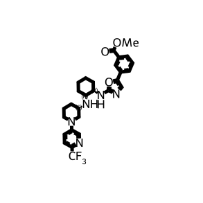 COC(=O)c1cccc(-c2cnc(N[C@@H]3CCCC[C@H]3N[C@H]3CCCN(c4ccc(C(F)(F)F)nc4)C3)o2)c1